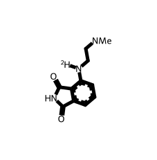 [2H]N(CCNC)c1cccc2c1C(=O)NC2=O